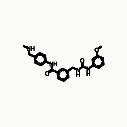 CNCc1ccc(NC(=O)c2cccc(CNC(=O)Nc3cccc(OC)c3)c2)cc1